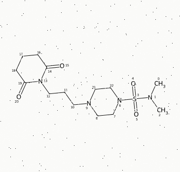 CN(C)S(=O)(=O)N1CCN(CCCN2C(=O)CCCC2=O)CC1